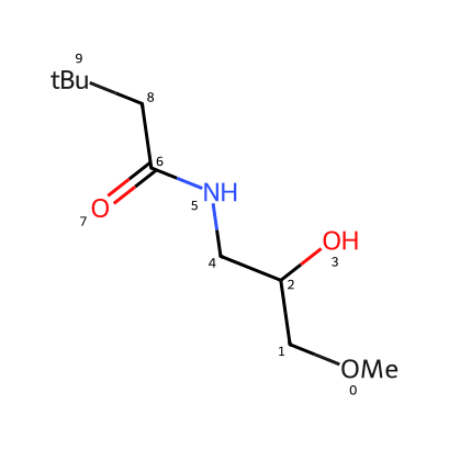 COCC(O)CNC(=O)CC(C)(C)C